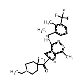 CCN1CCC(C)(C(=O)c2cc3c(N[C@H](C)c4cccc(C(F)(F)F)c4C)nnc(C)c3s2)CC1